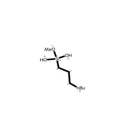 CCCCCCC[Si](O)(O)OC